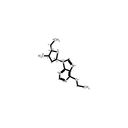 CCOc1ncnc2c1ncn2[C@H]1CC(C)[C@@H](CC)O1